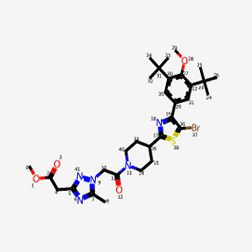 COC(=O)Cc1nc(C)n(CC(=O)N2CCC(c3nc(-c4cc(C(C)(C)C)c(OC)c(C(C)(C)C)c4)c(Br)s3)CC2)n1